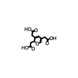 O=C(O)CC1=COC(CC(=O)O)C(CC(=O)O)=C1